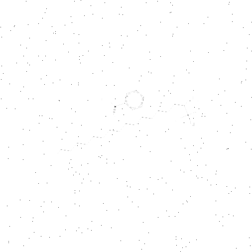 CCCCCCCCCCCCCCCCC(C)C(C)(C)N.O=C(O)c1ccccc1